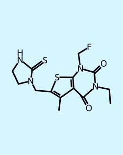 CCn1c(=O)c2c(C)c(CN3CCNC3=S)sc2n(CF)c1=O